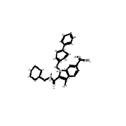 N=C(N)c1ccc2c(Cl)c(C(=O)NCC3CCCCC3)n(Cc3ccc(-c4ccccc4)cc3)c2c1